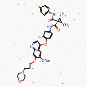 COc1cc2c(Oc3ccc(NC(=O)[C@@]4(C(=O)Nc5ccc(F)cc5)[C@H](C)[C@@H]4C)cc3F)ccnc2cc1OCCCN1CCOCC1